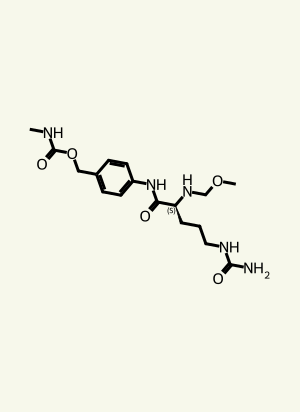 CNC(=O)OCc1ccc(NC(=O)[C@H](CCCNC(N)=O)NCOC)cc1